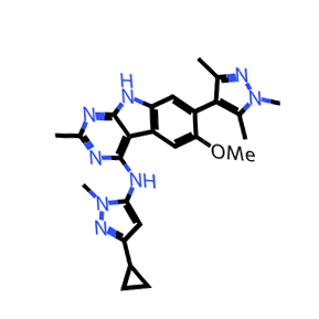 COc1cc2c(cc1-c1c(C)nn(C)c1C)[nH]c1nc(C)nc(Nc3cc(C4CC4)nn3C)c12